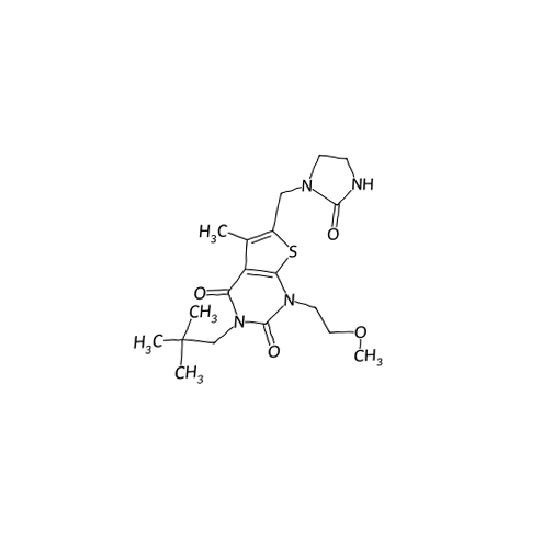 COCCn1c(=O)n(CC(C)(C)C)c(=O)c2c(C)c(CN3CCNC3=O)sc21